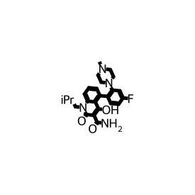 CC(C)Cn1c(=O)c(C(N)=O)c(O)c2c(-c3ccc(F)cc3N3CCN(C)CC3)cccc21